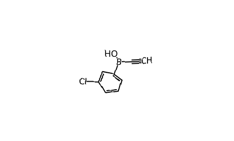 C#CB(O)c1cccc(Cl)c1